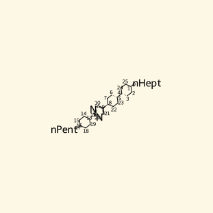 CCCCCCC[C@H]1CC[C@H]([C@H]2CC[C@H](c3cnc([C@H]4CC[C@H](CCCCC)CC4)nc3)CC2)CC1